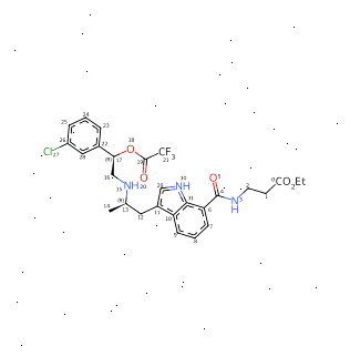 CCOC(=O)CCNC(=O)c1cccc2c(C[C@@H](C)NC[C@H](OC(=O)C(F)(F)F)c3cccc(Cl)c3)c[nH]c12